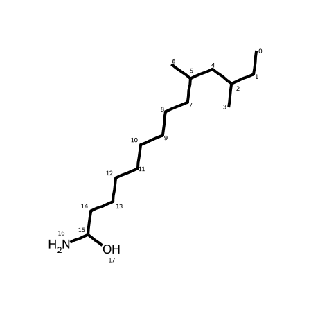 CCC(C)CC(C)CCCCCCCCC(N)O